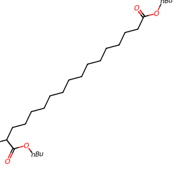 CCCCOC(=O)CCCCCCCCCCCCCCC(C(=O)OCCCC)C(C)C